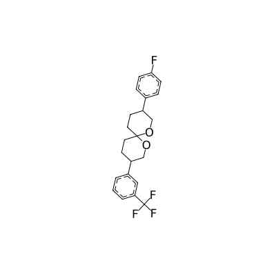 Fc1ccc(C2CCC3(CCC(c4cccc(C(F)(F)F)c4)CO3)OC2)cc1